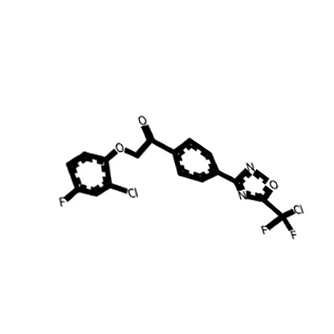 O=C(COc1ccc(F)cc1Cl)c1ccc(-c2noc(C(F)(F)Cl)n2)cc1